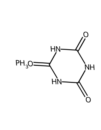 O=c1[nH]c(=O)[nH]c(=O)[nH]1.P